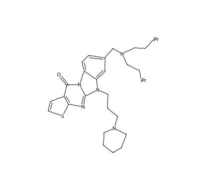 CC(C)CCN(CCC(C)C)Cc1ccc2c(c1)n(CCCN1CCCCC1)c1nc3sccc3c(=O)n21